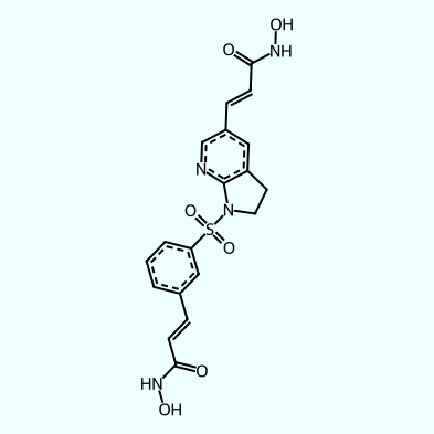 O=C(C=Cc1cccc(S(=O)(=O)N2CCc3cc(C=CC(=O)NO)cnc32)c1)NO